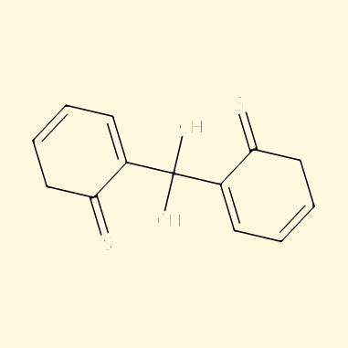 CC(C)(C1=CC=CCC1=S)C1=CC=CCC1=S